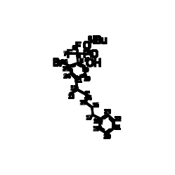 CCC(C)OP(=O)(O)C(F)(F)c1ccc(C(C)SCCCc2ccccc2)cc1Br